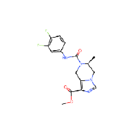 COC(=O)c1ncn2c1CN(C(=O)Nc1ccc(F)c(F)c1)[C@@H](C)C2